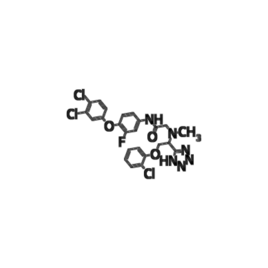 CN(CC(=O)Nc1ccc(Oc2ccc(Cl)c(Cl)c2)c(F)c1)C(COc1ccccc1Cl)c1nnn[nH]1